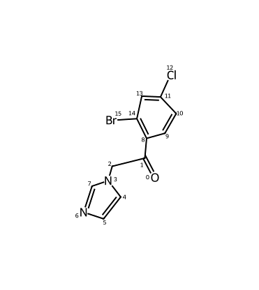 O=C(Cn1ccnc1)c1ccc(Cl)cc1Br